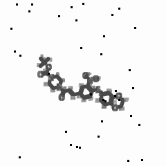 CC(C)(C)OC(=O)N1CCN(C(=O)C=Cc2ccc(Sc3ccc4c(c3)OCCO4)c([N+](=O)[O-])c2)CC1